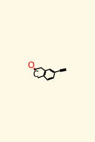 C#Cc1ccc2c(c1)CC(=O)CC2